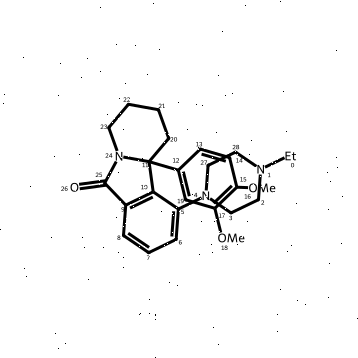 CCN1CCN(c2cccc3c2C2(c4ccc(OC)c(OC)c4)CCCCN2C3=O)CC1